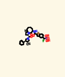 N#C[C@H]1CN(C(=O)[C@@H]2CC[C@@H]3CCCC[C@H](NC(=O)c4cc5cc([C@H](F)P(=O)(O)O)ccc5s4)C(=O)N32)C[C@@H]1c1ccccc1